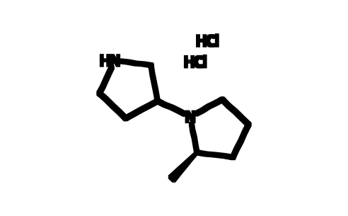 C[C@@H]1CCCN1C1CCNC1.Cl.Cl